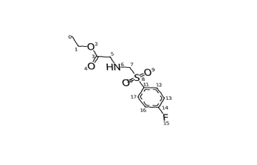 CCOC(=O)CNCS(=O)(=O)c1ccc(F)cc1